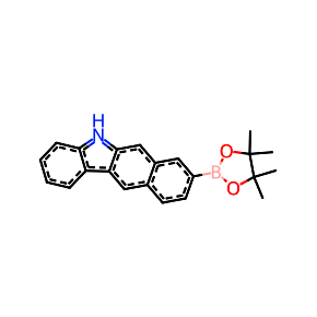 CC1(C)OB(c2ccc3cc4c(cc3c2)[nH]c2ccccc24)OC1(C)C